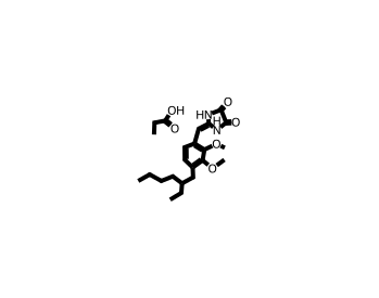 CCC(=O)O.CCCCC(CC)Cc1ccc(C=C2NC(=O)C(=O)N2)c(OC)c1OC